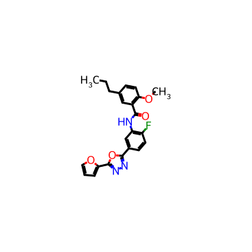 CCCc1ccc(OC)c(C(=O)Nc2cc(-c3nnc(-c4ccco4)o3)ccc2F)c1